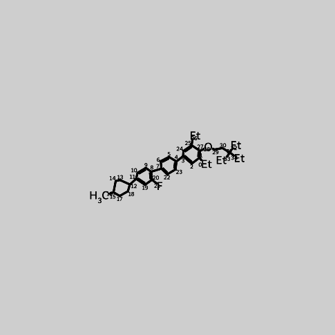 CCc1cc(-c2ccc(-c3ccc(C4CCC(C)CC4)cc3F)cc2)cc(CC)c1OCCC(CC)(CC)CC